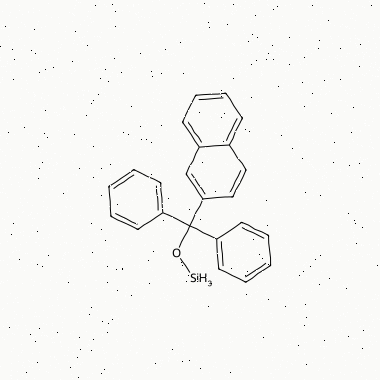 [SiH3]OC(c1ccccc1)(c1ccccc1)c1ccc2ccccc2c1